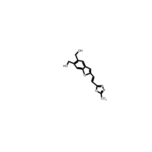 OCc1cc2cc(C=Cc3nnc(C(Cl)(Cl)Cl)o3)oc2cc1CO